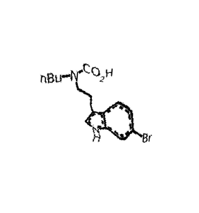 CCCCN(CCc1c[nH]c2cc(Br)ccc12)C(=O)O